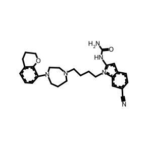 N#Cc1ccc2cc(NC(N)=O)n(CCCCN3CCCN(c4cccc5c4OCCC5)CC3)c2c1